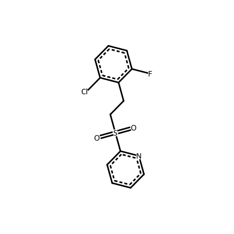 O=S(=O)(CCc1c(F)cccc1Cl)c1ccccn1